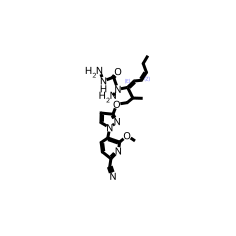 CC/C=C\C=C(/C(C)COc1ccn(-c2ccc(C#N)nc2OC)n1)N(N)C(=O)NN